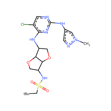 Cn1cc(Nc2ncc(Cl)c(NC3COC4C(NS(=O)(=O)CC(C)(C)C)COC34)n2)cn1